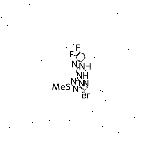 CSc1nc(NCc2nc3c(F)c(F)ccc3[nH]2)n2ncc(Br)c2n1